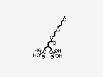 COCCCOCCOC(=O)CC(COP(=O)(O)O)COP(=O)(O)O